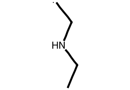 [CH2]CNCC